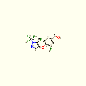 O=Cc1cc(F)c(Oc2cnn(C(F)(F)F)c2)c(F)c1